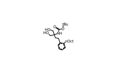 CCCCCCCCc1ccccc1CCC(CO)(CO)NC(=O)OC(C)(C)C